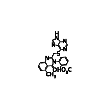 Cc1cccc2nc(CSc3ncnc4[nH]cnc34)n(-c3ccccc3C(=O)O)c(=O)c12